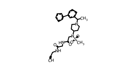 C#CCNC(=O)CNC(=O)CN(C1CCN(C(C)c2cccc(-c3ccccc3)c2)CC1)S(C)(=O)=O